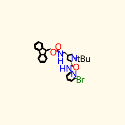 CC(C)(C)N1C[C@H](CNC(=O)OCC2c3ccccc3-c3ccccc32)C[C@H]1C(=O)Nc1cccc(Br)n1